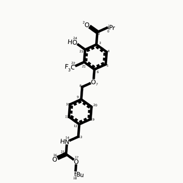 CC(C)C(=O)c1ccc(OCc2ccc(CNC(=O)OC(C)(C)C)cc2)c(C(F)(F)F)c1O